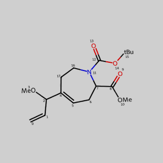 C=CC(OC)C1=CCC(C(=O)OC)N(C(=O)OC(C)(C)C)CC1